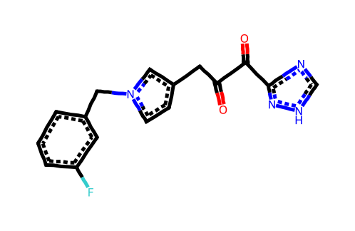 O=C(Cc1ccn(Cc2cccc(F)c2)c1)C(=O)c1nc[nH]n1